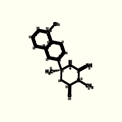 CN1C(=N)N[C@](C)(c2ccc3c(ccc[n+]3[O-])c2)CC1=O